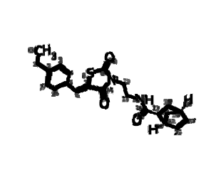 CCc1ccc(/C=C2\SC(=O)N(CCNC(=O)[C@H]3C[C@H]4C=C[C@@H]3C4)C2=O)cc1